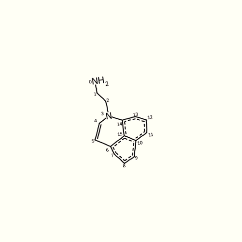 NCCN1C=Cc2cccc3cccc1c23